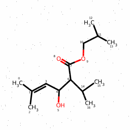 CC(C)=CC(O)C(C(=O)OCC(C)C)C(C)C